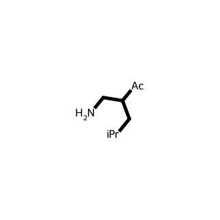 CC(=O)C(CN)CC(C)C